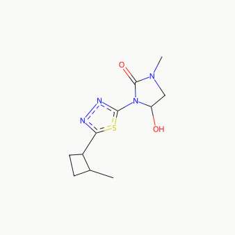 CC1CCC1c1nnc(N2C(=O)N(C)CC2O)s1